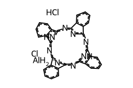 Cl.[AlH2][Cl].c1ccc2c(c1)-c1nc-2nc2[nH]c(nc3nc(nc4[nH]c(n1)c1ccccc41)-c1ccccc1-3)c1ccccc21